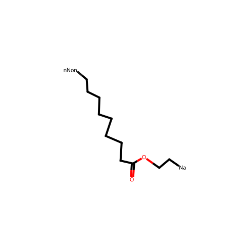 CCCCCCCCCCCCCCCCCC(=O)OC[CH2][Na]